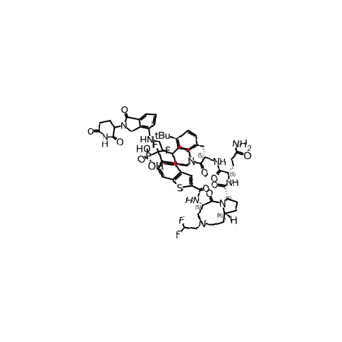 CC(C)(C)c1ccc(C[C@H](NC(=O)[C@H](CCC(N)=O)NC(=O)[C@@H]2CC[C@@H]3CCN(CC(F)F)C[C@H](NC(=O)c4cc5cc(C(F)(F)P(=O)(O)O)ccc5s4)C(=O)N32)C(=O)N2CCC(CCNc3cccc4c3CN(C3CCC(=O)NC3=O)C4=O)CC2)cc1